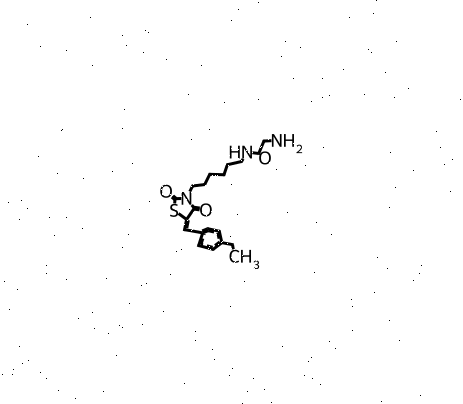 CCc1ccc(C=C2SC(=O)N(CCCCCCNC(=O)CN)C2=O)cc1